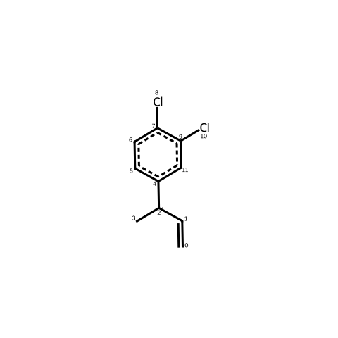 C=C[C](C)c1ccc(Cl)c(Cl)c1